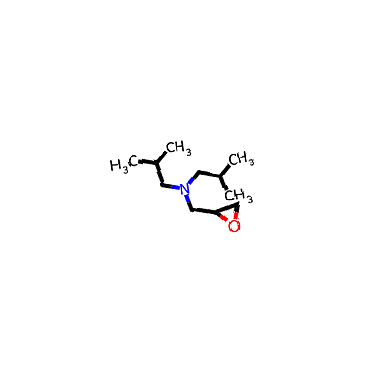 CC(C)CN(CC(C)C)CC1CO1